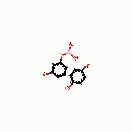 OB(O)Oc1cccc(O)c1.Oc1ccc(O)cc1